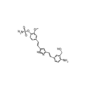 COc1cc(/C=C/c2cc(/C=C/c3ccc(N)c(CO)c3)n[nH]2)ccc1OS(N)(=O)=O